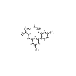 CCNCc1cc(C(F)(F)F)ccc1-c1cc(CCC(=O)OC)cc(C(F)(F)F)c1